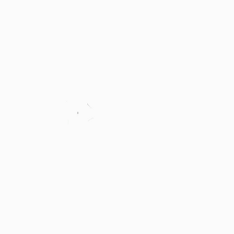 Cc1ccc(C2CCC(C3CCC(C)CC3)CC2)c(F)c1F